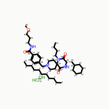 CCCCCCCCCCC.CCCCN1C(=O)[C@H](CC2CCCCC2)NC(=O)C12CCN(Cc1ccc(C(=O)NCCCOC)cc1)CC2.Cl.Cl